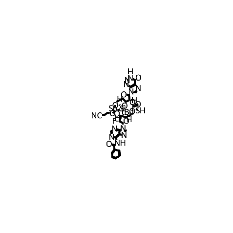 CC(C)(C)[Si](C)(C)OC1[C@H]2OP(=O)(S)OC[C@H]3O[C@@H](n4cnc5c(NC(=O)c6ccccc6)ncnc54)[C@H](F)[C@@H]3OP(=S)(OCCC#N)OC[C@H]1O[C@H]2n1cnc2c(=O)[nH]nnc21